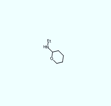 [CH2]CNC1CCCCO1